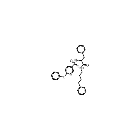 O=C(NCCCCc1ccccc1)[C@H](Cc1cc[c]cc1)NS(=O)(=O)c1ccc(Oc2ccccc2)nc1